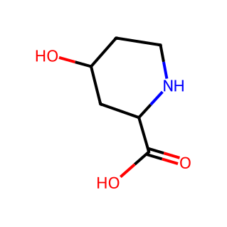 O=C(O)C1CC(O)CCN1